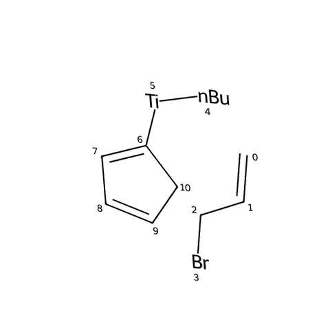 C=CCBr.CCC[CH2][Ti][C]1=CC=CC1